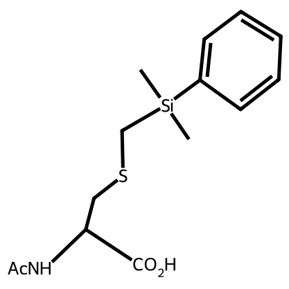 CC(=O)NC(CSC[Si](C)(C)c1ccccc1)C(=O)O